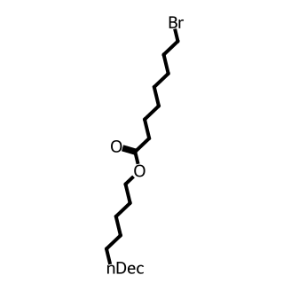 CCCCCCCCCCCCCCCOC(=O)CCCCCCCBr